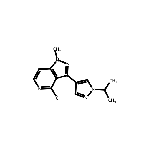 CC(C)n1cc(-c2nn(C)c3ccnc(Cl)c23)cn1